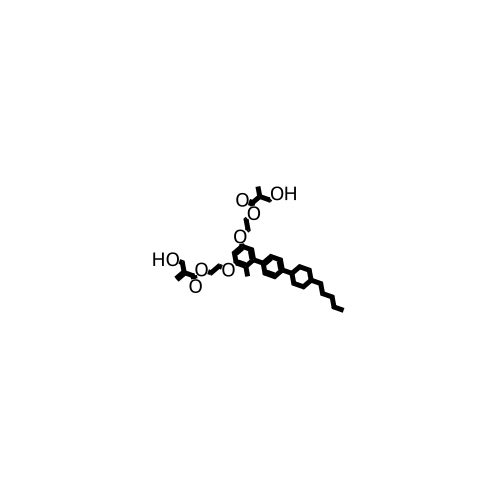 C=C(CO)C(=O)OCCOc1cc(OCCOC(=O)C(C)CO)cc(-c2ccc(C3CCC(CCCCC)CC3)cc2)c1C